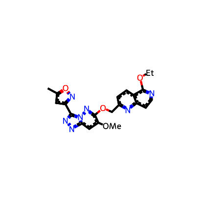 CCOc1nccc2nc(COc3nn4c(-c5cc(C)on5)nnc4cc3OC)ccc12